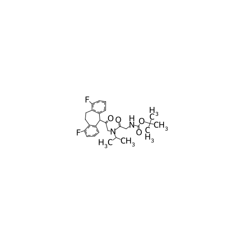 CC(C)N(CC(=O)C1c2cccc(F)c2CCc2c(F)cccc21)C(=O)CNC(=O)OC(C)(C)C